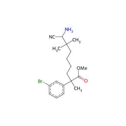 COC(=O)C(C)(CCCCC(C)(C)C(N)C#N)c1cccc(Br)c1